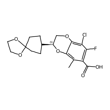 Cc1c2c(c(Cl)c(F)c1C(=O)O)OC[C@H](C1CCC3(CC1)OCCO3)O2